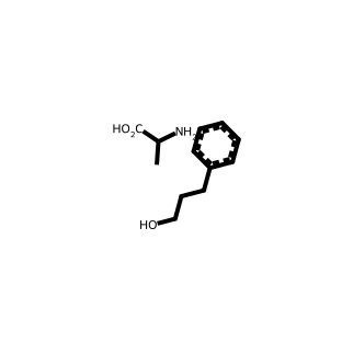 CC(N)C(=O)O.OCCCc1ccccc1